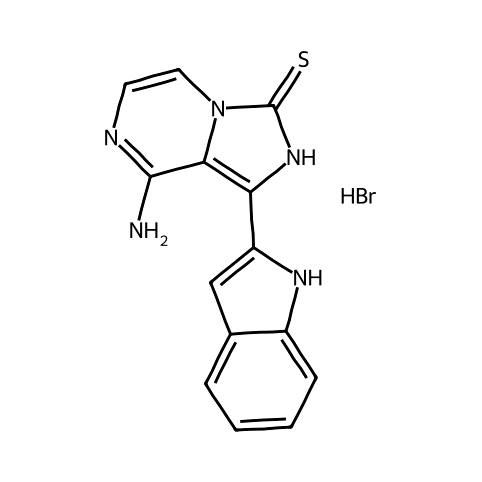 Br.Nc1nccn2c(=S)[nH]c(-c3cc4ccccc4[nH]3)c12